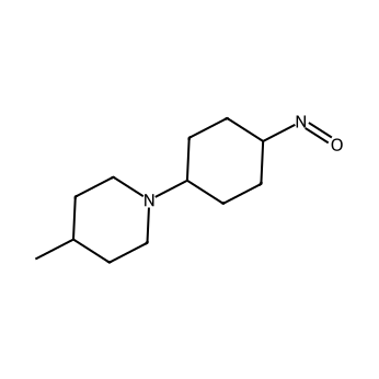 CC1CCN(C2CCC(N=O)CC2)CC1